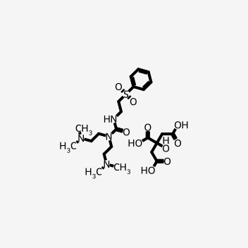 CN(C)CCN(CCN(C)C)C(=O)NCCS(=O)(=O)c1ccccc1.O=C(O)CC(O)(CC(=O)O)C(=O)O